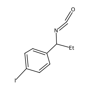 CCC(N=C=O)c1ccc(I)cc1